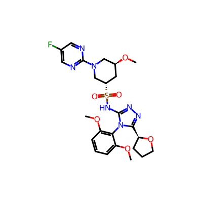 COc1cccc(OC)c1-n1c(NS(=O)(=O)[C@H]2C[C@H](OC)CN(c3ncc(F)cn3)C2)nnc1[C@@H]1CCCO1